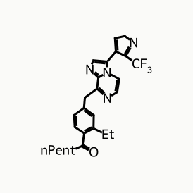 CCCCCC(=O)c1ccc(Cc2nccn3c(C4=CCN=C4C(F)(F)F)cnc23)cc1CC